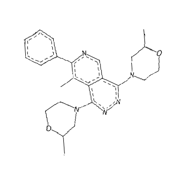 Cc1c(-c2ccccc2)ncc2c(N3CCOC(C)C3)nnc(N3CCOC(C)C3)c12